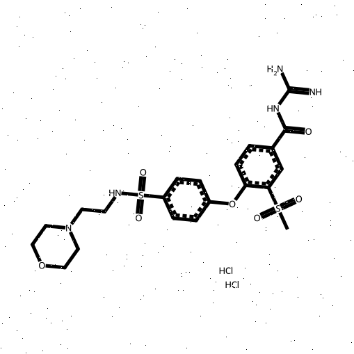 CS(=O)(=O)c1cc(C(=O)NC(=N)N)ccc1Oc1ccc(S(=O)(=O)NCCN2CCOCC2)cc1.Cl.Cl